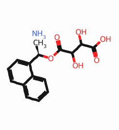 C[C@@H](OC(=O)C(O)C(O)C(=O)O)c1cccc2ccccc12.N